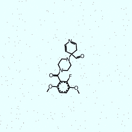 COc1ccc(OC)c(C(=O)N2CCN(C3(C=O)C=CN=CC3)CC2)c1F